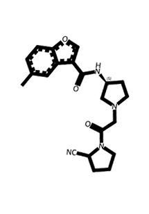 Cc1ccc2occ(C(=O)N[C@H]3CCN(CC(=O)N4CCCC4C#N)C3)c2c1